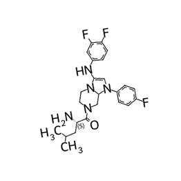 CC(C)C[C@H](N)C(=O)N1CCN2C(Nc3ccc(F)c(F)c3)=CN(c3ccc(F)cc3)C2C1